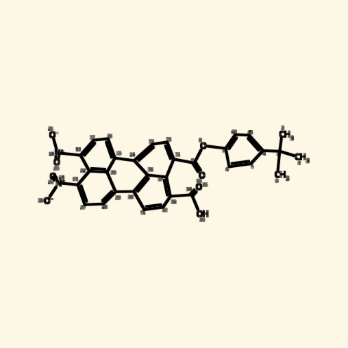 CC(C)(C)c1ccc(OC(=O)c2ccc3c4ccc([N+](=O)[O-])c5c([N+](=O)[O-])ccc(c6ccc(C(=O)O)c2c63)c54)cc1